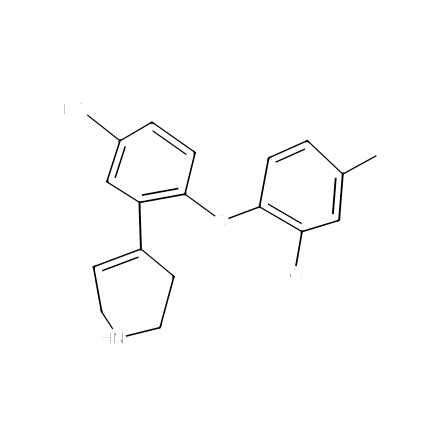 Cc1ccc(Sc2ccc(Cl)cc2C)c(C2=CCNCC2)c1